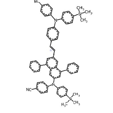 C[Si](C)(C)c1ccc(N(c2ccc(C#N)cc2)c2ccc(/C=C/c3cc(-c4ccccc4)c4cc(N(c5ccc(C#N)cc5)c5ccc([Si](C)(C)C)cc5)cc(-c5ccccc5)c4c3)cc2)cc1